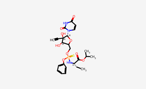 C#C[C@@]1(O)[C@H](O)C(COP(=S)(N[C@@H](CC)C(=O)OC(C)C)Oc2ccccc2)O[C@H]1n1ccc(=O)[nH]c1=O